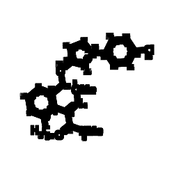 CNC(=O)/C(=N/OC)c1c(C)cccc1COc1ccn(-c2ccc(Cl)cc2)n1